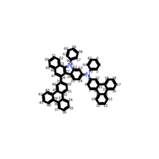 c1ccc(N(c2ccc3c4ccccc4c4ccccc4c3c2)c2ccc3c4c(-c5ccc6c7ccccc7c7ccccc7c6c5)cc5ccccc5c4n(-c4ccccc4)c3c2)cc1